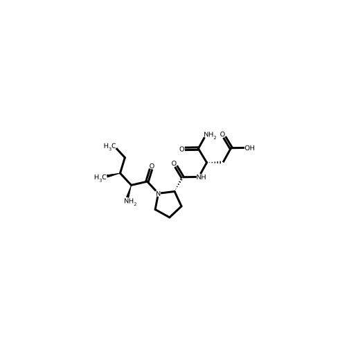 CC[C@H](C)[C@H](N)C(=O)N1CCC[C@H]1C(=O)N[C@@H](CC(=O)O)C(N)=O